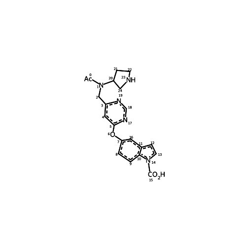 CC(=O)N(Cc1cc(Oc2ccc3c(ccn3C(=O)O)c2)ncn1)C1CCNC1